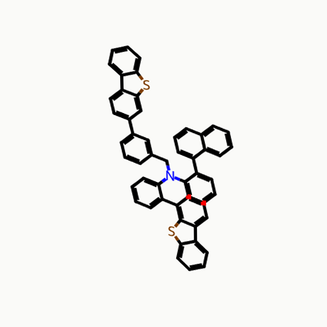 c1cc(CN(c2ccccc2-c2cccc3ccccc23)c2ccccc2-c2cccc3c2sc2ccccc23)cc(-c2ccc3c(c2)sc2ccccc23)c1